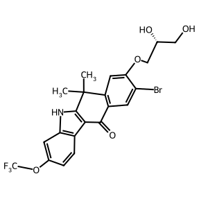 CC1(C)c2cc(OC[C@H](O)CO)c(Br)cc2C(=O)c2c1[nH]c1cc(OC(F)(F)F)ccc21